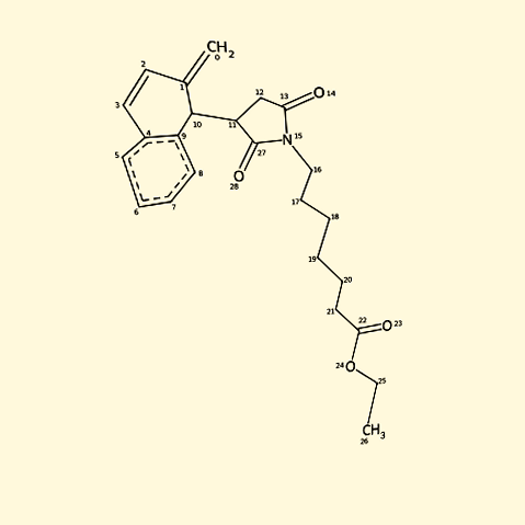 C=C1C=Cc2ccccc2C1C1CC(=O)N(CCCCCCC(=O)OCC)C1=O